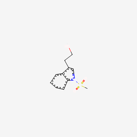 CS(=O)(=O)n1cc(CCO)c2ccccc21